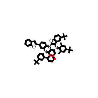 Cc1cc2c3c(c1)N(c1c(C)cc(C(C)(C)C)cc1C)c1c(oc4ccc(C(C)(C)C)cc14)B3c1ccc(-c3cc4ccccc4o3)cc1N2c1ccc(C(C)(C)C)cc1-c1ccccc1